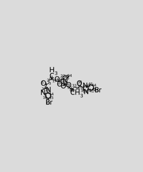 C[C@@H](CCC(=O)c1cnc2cc(Br)ccc2n1)COC(=O)C1CC2CC2N1C(=O)OC[C@@H](C)CCC(=O)c1cnc2cc(Br)ccc2n1